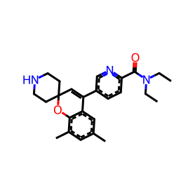 CCN(CC)C(=O)c1ccc(C2=CC3(CCNCC3)Oc3c(C)cc(C)cc32)cn1